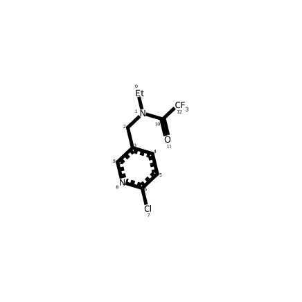 CCN(Cc1ccc(Cl)nc1)C(=O)C(F)(F)F